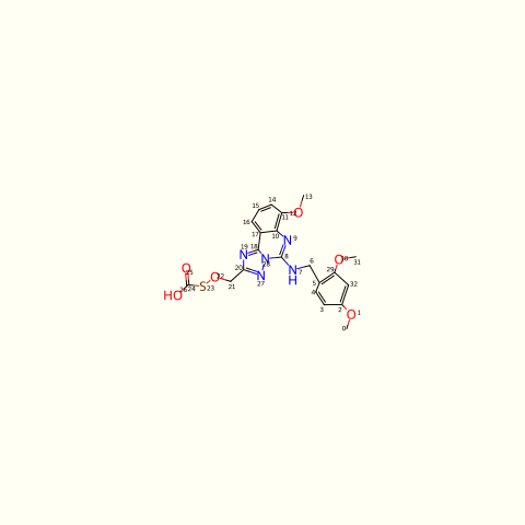 COc1ccc(CNc2nc3c(OC)cccc3c3nc(COSC(=O)O)nn23)c(OC)c1